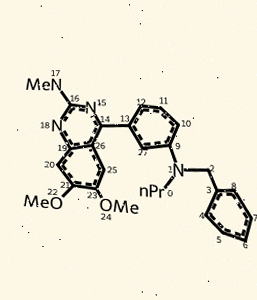 CCCN(Cc1ccccc1)c1cccc(-c2nc(NC)nc3cc(OC)c(OC)cc23)c1